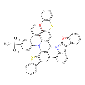 CC(C)(C)c1ccc(N2c3cc4c(cc3B3c5c(cc6c(sc7ccccc76)c52)-c2cccc5c6c7ccccc7oc6n3c25)Sc2ccccc2O4)c(-c2ccccc2)c1